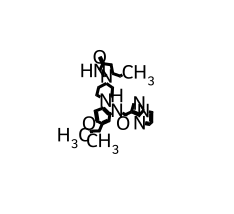 CCC1CC(=O)NN1C1CCN(c2cc3c(cc2NC(=O)c2cnn4cccnc24)CC(C)(C)O3)CC1